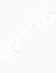 COc1ccc(/C=C/CNC(=O)c2cccnc2Cl)cn1